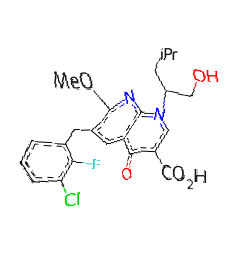 COc1nc2c(cc1Cc1cccc(Cl)c1F)c(=O)c(C(=O)O)cn2C(CO)CC(C)C